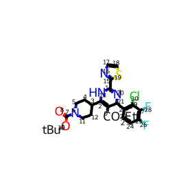 CCOC(=O)C1=C(C2CCN(C(=O)OC(C)(C)C)CC2)NC(c2nccs2)=NC1c1ccc(F)c(F)c1Cl